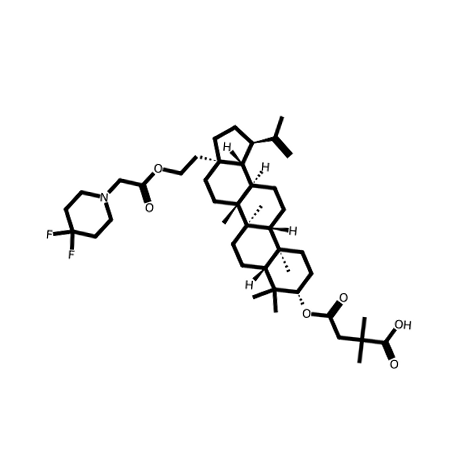 C=C(C)[C@@H]1CC[C@]2(CCOC(=O)CN3CCC(F)(F)CC3)CC[C@]3(C)[C@H](CC[C@@H]4[C@@]5(C)CC[C@H](OC(=O)CC(C)(C)C(=O)O)C(C)(C)[C@@H]5CC[C@]43C)[C@@H]12